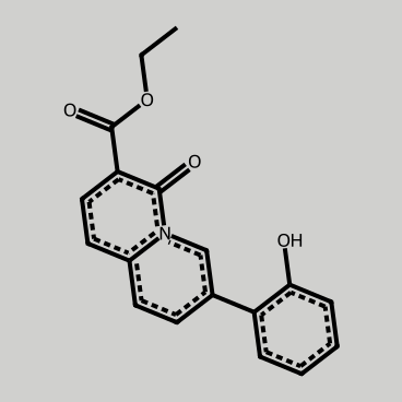 CCOC(=O)c1ccc2ccc(-c3ccccc3O)cn2c1=O